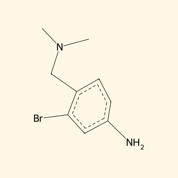 CN(C)Cc1ccc(N)cc1Br